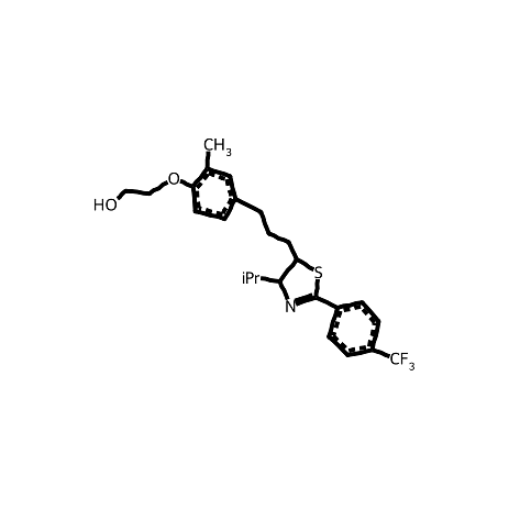 Cc1cc(CCCC2SC(c3ccc(C(F)(F)F)cc3)=NC2C(C)C)ccc1OCCO